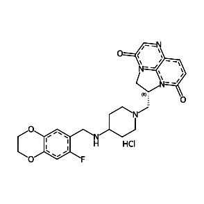 Cl.O=c1cnc2ccc(=O)n3c2n1C[C@H]3CN1CCC(NCc2cc3c(cc2F)OCCO3)CC1